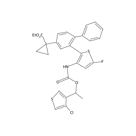 CCOC(=O)C1(c2ccc(-c3ccccc3)c(-c3sc(F)cc3NC(=O)OC(C)c3cscc3Cl)c2)CC1